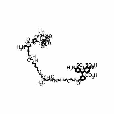 CC(C)(CCOC(=O)NCCOCCOCCNC(=O)c1ccc(C(=O)O)c(-c2c3ccc(=N)c(S(=O)(=O)O)c-3oc3c(S(=O)(=O)O)c(N)ccc23)c1)SSCOCCCCCNC(=O)NCC#Cc1cn([C@H]2C[C@@H](OCN)C(COP(=O)(O)OP(=O)(O)OP(=O)(O)O)O2)c(=O)nc1N